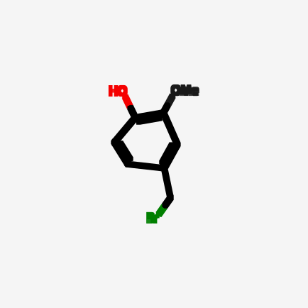 COc1cc(CBr)ccc1O